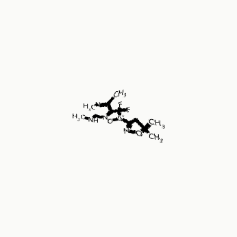 C/N=C(C)\C(=N/CNC)C(F)(F)[S+]([O-])C1=NOC(C)(C)C1